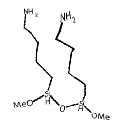 CO[SiH](CCCCN)O[SiH](CCCCN)OC